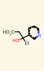 CCC(O)(CC(=O)O)c1cccnc1